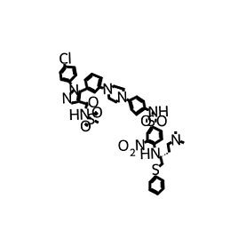 CN(C)CC[C@H](CSc1ccccc1)Nc1ccc(S(=O)(=O)Nc2ccc(N3CCN(c4cccc(-c5c(C(=O)NS(C)(=O)=O)cnn5-c5ccc(Cl)cc5)c4)CC3)cc2)cc1[N+](=O)[O-]